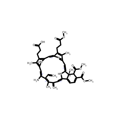 C=CC1=C(/C)C(=C)/C=C2\N/C(=C\C3=NC(=C\c4[nH]c(c(C)c4CCC(=O)O)\C=C\1N)/C(CCC(=O)OC)=C3C)[C@@]1(C)C2=CC=C(C(=O)OC)C1C(=O)OC